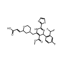 COC(=O)C1=C(CN2CCOC(/C=C/C(=O)O)C2)NC(c2nccs2)=NC1c1ccc(F)cc1C(F)F